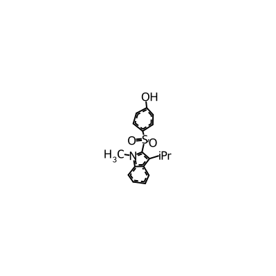 CC(C)c1c(S(=O)(=O)c2ccc(O)cc2)n(C)c2ccccc12